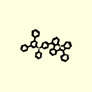 c1ccc(-c2cc(-c3ccccc3)cc(N(c3ccccc3)c3ccc(-c4cccc5c4c4ccccc4c4c(-c6ccccc6)c6ccccc6n54)cc3)c2)cc1